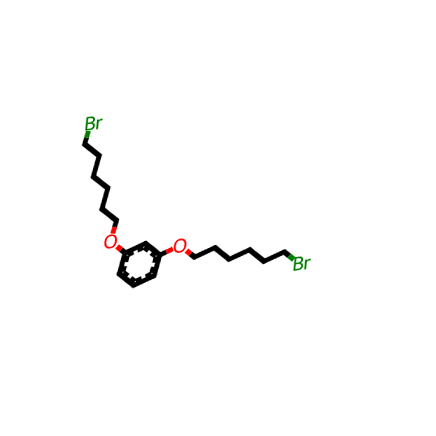 BrCCCCCCOc1cccc(OCCCCCCBr)c1